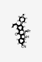 C/C=C\c1cc2c(=O)c3c4ccc(C#N)cc4[nH]c3n(C(C)C)c2cc1N1CCN(C)CC1